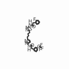 O=C(Cc1cccc(OC(F)(F)F)c1)Nc1ccc(CCCCc2nnc(NC(=O)Cc3ccccc3F)s2)nn1